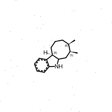 C[C@@H]1CCC[C@@H]2c3ccccc3NC2C[C@@H]1C